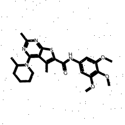 COc1cc(NC(=O)c2sc3nc(C)nc(N4CCCCC4C)c3c2C)cc(OC)c1OC